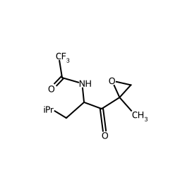 CC(C)CC(NC(=O)C(F)(F)F)C(=O)C1(C)CO1